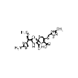 CO/N=C(\C(=O)N[C@@H]1C(=O)N2C(C(=O)O)=C(SCc3nc(C)ns3)CS[C@@H]12)c1csc(N)n1